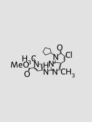 COC(=O)c1cc(Nc2nc(C)c3cc(Cl)c(=O)n(C4CCCC4)c3n2)cn1C